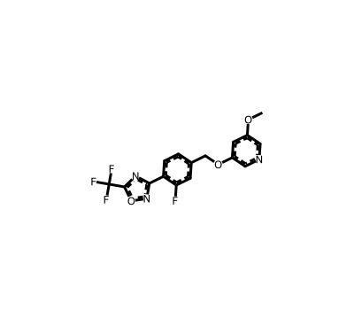 COc1cncc(OCc2ccc(-c3noc(C(F)(F)F)n3)c(F)c2)c1